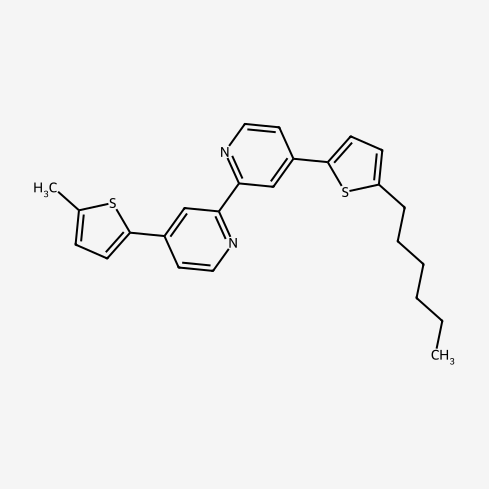 CCCCCCc1ccc(-c2ccnc(-c3cc(-c4ccc(C)s4)ccn3)c2)s1